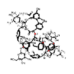 CC(C)C[C@H](C(=O)N[C@H]1C(=O)N[C@@H](CC(N)=O)C(=O)N[C@H]2C(=O)N[C@H]3C(=O)N[C@H](C(=O)N[C@H](C(=O)O)c4cc(O)cc(O)c4-c4cc3ccc4O)[C@H](O[C@H]3C[C@](C)(N)[C@@H](O)[C@H](C)O3)c3ccc(c(Cl)c3)Oc3cc2cc(c3O[C@@H]2O[C@H](CO)[C@@H](O)[C@H](O)[C@H]2O[C@H]2C[C@](C)(NCc3ccc(-c4ccc(Cl)cc4)cc3)[C@@H](O)[C@H](C)O2)Oc2ccc(cc2Cl)[C@H]1O)N(C)C(=O)CCC(P(=O)(O)O)P(=O)(O)O